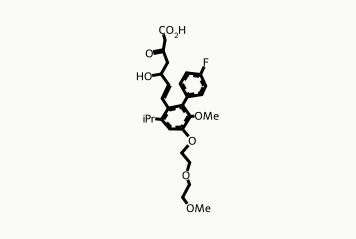 COCCOCCOc1cc(C(C)C)c(/C=C/C(O)CC(=O)CC(=O)O)c(-c2ccc(F)cc2)c1OC